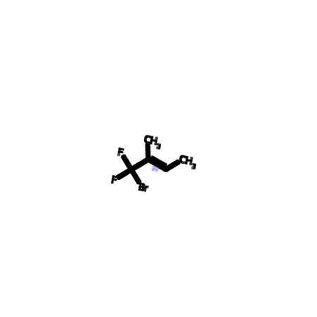 C/C=C(\C)C(F)(F)Br